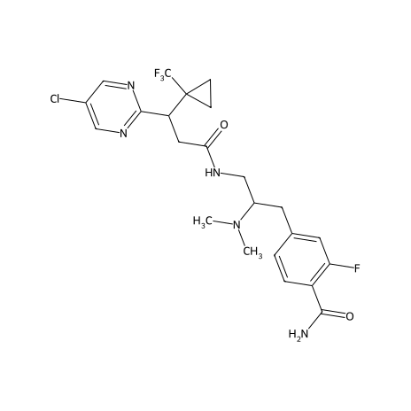 CN(C)C(CNC(=O)CC(c1ncc(Cl)cn1)C1(C(F)(F)F)CC1)Cc1ccc(C(N)=O)c(F)c1